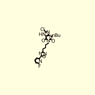 CCCCn1c(=O)n(CCCCc2noc(-c3cccc(F)n3)n2)c(=O)c2[nH]c(Cl)nc21